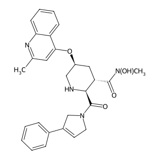 Cc1cc(O[C@@H]2CN[C@H](C(=O)N3CC=C(c4ccccc4)C3)[C@@H](C(=O)N(C)O)C2)c2ccccc2n1